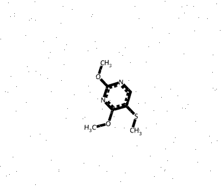 COc1ncc(SC)c(OC)n1